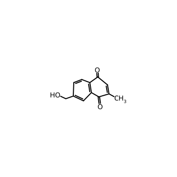 CC1=CC(=O)c2ccc(CO)cc2C1=O